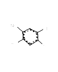 N#Cc1cc(Cl)c(F)cc1O